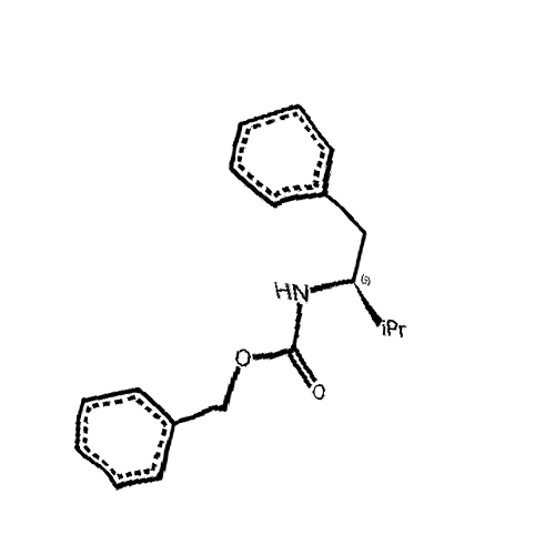 CC(C)[C@H](Cc1ccccc1)NC(=O)OCc1ccccc1